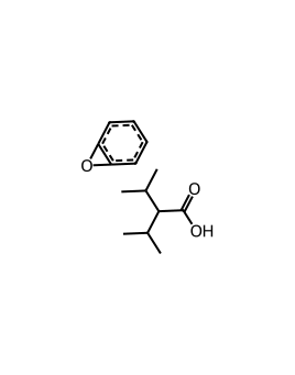 CC(C)C(C(=O)O)C(C)C.c1ccc2c(c1)O2